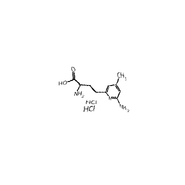 Cc1cc(N)nc(CCC(N)C(=O)O)c1.Cl.Cl